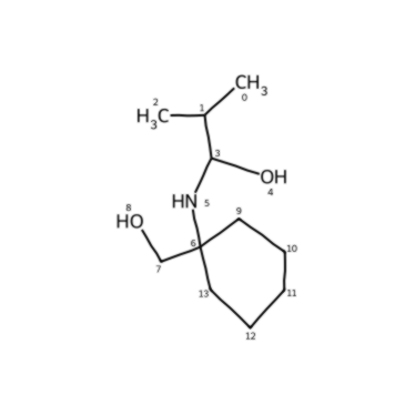 CC(C)C(O)NC1(CO)CCCCC1